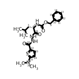 CC(C)C[C@H](NC(=O)OCc1ccccc1)C(=O)NNC(=O)c1ccc(N(C)C)s1